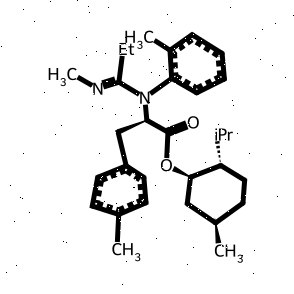 CC/C(=N\C)N(c1ccccc1C)[C@H](Cc1ccc(C)cc1)C(=O)O[C@@H]1C[C@H](C)CC[C@H]1C(C)C